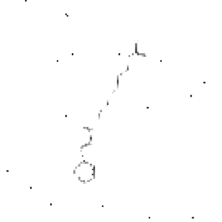 O=C(O)CCCCCCCNC(=O)C=Cc1cccnc1